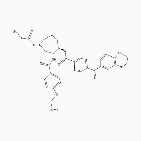 COCOc1ccc(C(=O)N[C@@H]2CN(OC(=O)OC(C)(C)C)CCC[C@H]2OC(=O)c2ccc(C(=O)c3ccc4c(c3)OCCO4)cc2)cc1